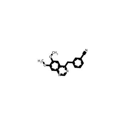 COc1cc2ncnc(Cc3cccc(C#N)c3)c2cc1OC